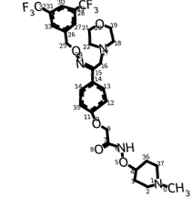 CN1CCC(ONC(=O)COc2ccc(C(CN3CCOCC3)=NOCc3cc(C(F)(F)F)cc(C(F)(F)F)c3)cc2)CC1